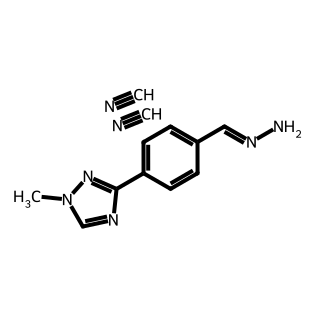 C#N.C#N.Cn1cnc(-c2ccc(C=NN)cc2)n1